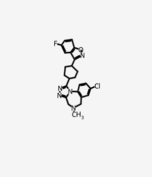 CN1Cc2cc(Cl)ccc2-n2c(nnc2C2CCC(c3noc4ccc(F)cc34)CC2)C1